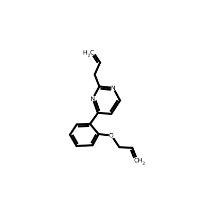 C=CCOc1ccccc1-c1ccnc(CC=C)n1